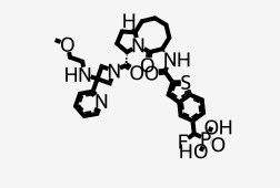 COCCNC1(c2ccccn2)CN(C(=O)[C@@H]2CC[C@@H]3CCCC[C@H](NC(=O)c4cc5cc(C(F)P(=O)(O)O)ccc5s4)C(=O)N32)C1